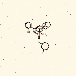 Nc1nnc(-c2ccccc2O)cc1N1CC2CCC(C1)N2c1ccnc(C#CCN2CCCCC(F)C2)c1